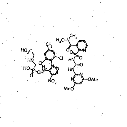 COc1cc(OC)nc(NC(=O)NS(=O)(=O)c2ncccc2C(=O)N(C)C)n1.Nc1c([N+](=O)[O-])cnn1-c1c(Cl)cc(C(F)(F)F)cc1Cl.O=C(O)CNCP(=O)(O)O